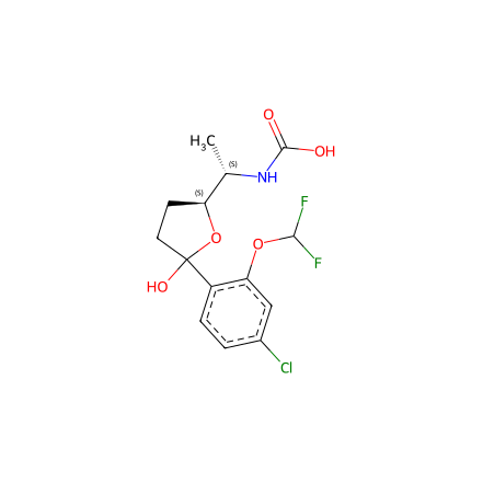 C[C@H](NC(=O)O)[C@@H]1CCC(O)(c2ccc(Cl)cc2OC(F)F)O1